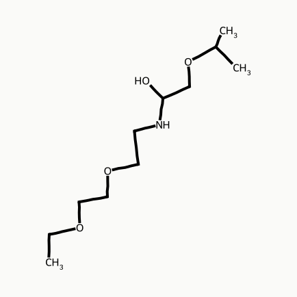 CCOCCOCCNC(O)COC(C)C